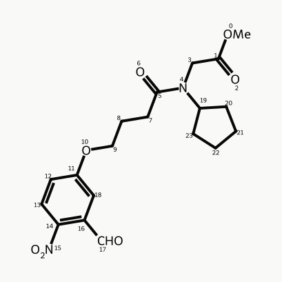 COC(=O)CN(C(=O)CCCOc1ccc([N+](=O)[O-])c(C=O)c1)C1CCCC1